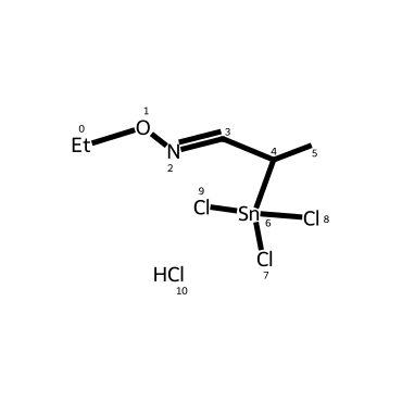 CCON=C[CH](C)[Sn]([Cl])([Cl])[Cl].Cl